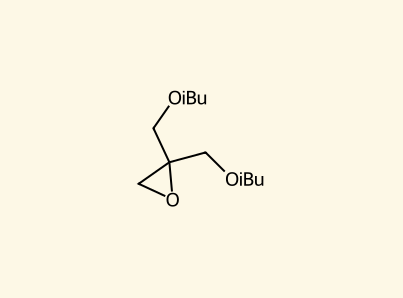 CC(C)COCC1(COCC(C)C)CO1